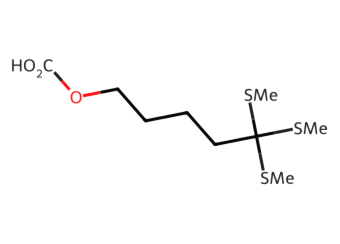 CSC(CCCCOC(=O)O)(SC)SC